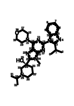 CC(C)c1nc2ccccc2n1-c1nc(N2CCOCC2)c2nc([C@@]3(O)CCCN(C(C)C)C3)n(C)c2n1